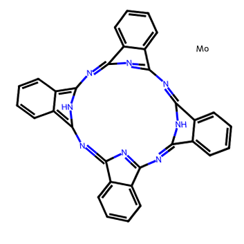 [Mo].c1ccc2c(c1)-c1nc-2nc2[nH]c(nc3nc(nc4[nH]c(n1)c1ccccc41)-c1ccccc1-3)c1ccccc21